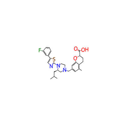 Cc1cc(CN2CCN(c3ncc(-c4cccc(F)c4)s3)[C@H](CC(C)C)C2)cc2c1CCC(C(=O)O)O2